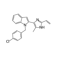 C=Cc1nc(-c2cc3ccccc3n2Cc2ccc(Cl)cc2)c(C)[nH]1